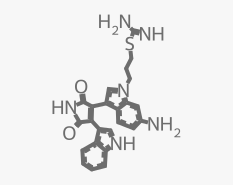 N=C(N)SCCCn1cc(C2=C(c3c[nH]c4ccccc34)C(=O)NC2=O)c2ccc(N)cc21